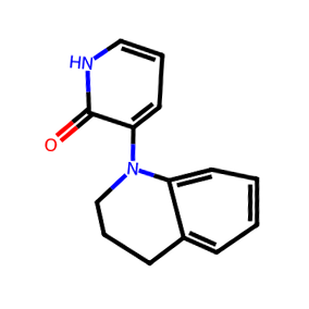 O=c1[nH]cccc1N1CCCc2ccccc21